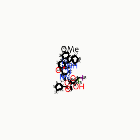 C#C[C@]1(OC(=O)c2ccccc2)[C@H](n2cnc3c(=O)[nH]c(NC(c4ccccc4)(c4ccccc4)c4ccc(OC)cc4)nc32)O[C@](F)(CI)[C@H]1O